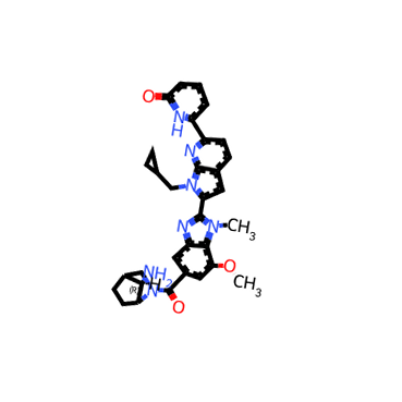 COc1cc(C(=O)N2CC3CCC2[C@@H]3N)cc2nc(-c3cc4ccc(-c5cccc(=O)[nH]5)nc4n3CC3CC3)n(C)c12